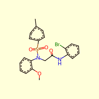 COc1ccccc1N(CC(=O)Nc1ccccc1Br)S(=O)(=O)c1ccc(C)cc1